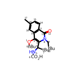 CCCCOc1c(C(NC(=O)O)C(C)(C)C)n(CC(C)(C)C)c(=O)c2ccc(C)cc12